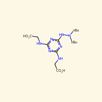 CCCCN(CCCC)Nc1nc(NCC(=O)O)nc(NCC(=O)O)n1